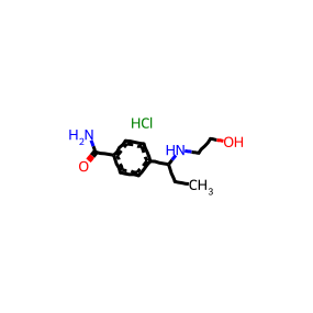 CCC(NCCO)c1ccc(C(N)=O)cc1.Cl